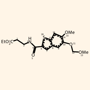 CCOC(=O)CCNC(=O)c1cc2cc(OCOC)c(OC)cc2s1